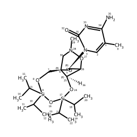 Cc1cn([C@@H]2O[C@]34CO[Si](C(C)C)(C(C)C)O[Si](C(C)C)(C(C)C)O[C@@H]3C2ON(C)C4)c(=O)nc1N